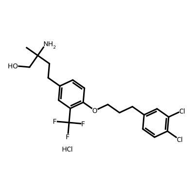 CC(N)(CO)CCc1ccc(OCCCc2ccc(Cl)c(Cl)c2)c(C(F)(F)F)c1.Cl